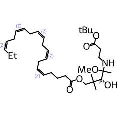 CC/C=C\C/C=C\C/C=C\C/C=C\C/C=C\CCCC(=O)OCC(C)(C)[C@@H](O)C(C)(NCCC(=O)OC(C)(C)C)OC